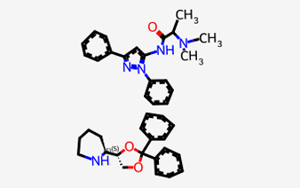 CC(C(=O)Nc1cc(-c2ccccc2)nn1-c1ccccc1)N(C)C.c1ccc(C2(c3ccccc3)OC[C@H]([C@@H]3CCCCN3)O2)cc1